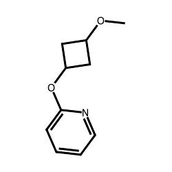 COC1CC(Oc2ccccn2)C1